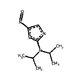 CC(C)N(c1ncc(N=O)s1)C(C)C